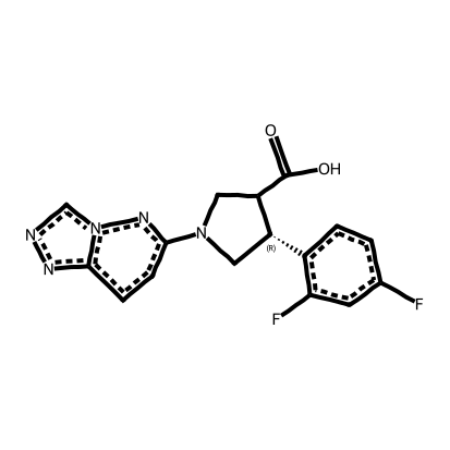 O=C(O)C1CN(c2ccc3nncn3n2)C[C@H]1c1ccc(F)cc1F